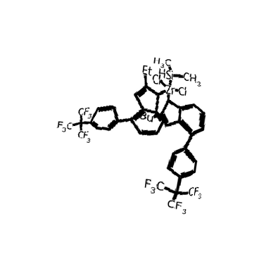 CCC1=Cc2c(-c3ccc(C(C(F)(F)F)(C(F)(F)F)C(F)(F)F)cc3)cccc2[CH]1[Zr]([Cl])([Cl])([CH]1C(C(C)CC)=Cc2c(-c3ccc(C(C(F)(F)F)(C(F)(F)F)C(F)(F)F)cc3)cccc21)[SiH](C)C